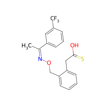 CC(=NOCc1ccccc1CC(O)=S)c1cccc(C(F)(F)F)c1